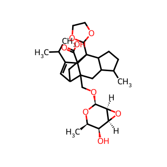 CC(C)C1=CC2CC3(C4OCCO4)C4CCC(C)C4CC2(CO[C@@H]2O[C@H](C)[C@H](O)[C@@H]4O[C@H]24)C13C(=O)O